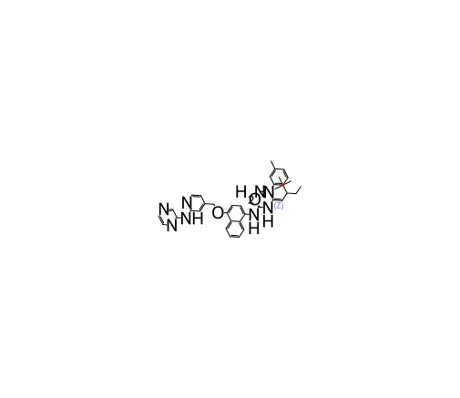 CCC(/C=C(/NC(=O)Nc1ccc(OCc2ccnc(Nc3cnccn3)c2)c2ccccc12)N(N)c1cccc(C)c1)C(C)(C)C